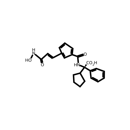 O=C(C=Cc1cccc(C(=O)N[C@](C(=O)O)(c2ccccc2)C2CCCC2)c1)NO